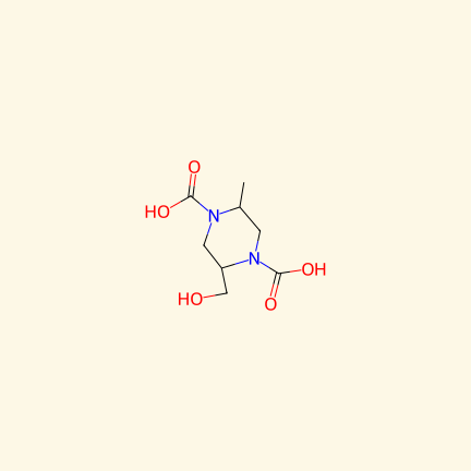 CC1CN(C(=O)O)C(CO)CN1C(=O)O